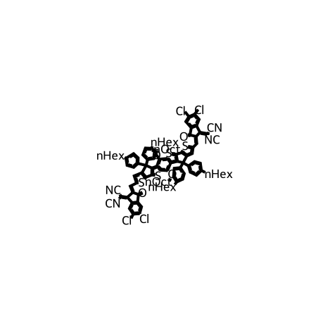 [C-]#[N+]/C(C#N)=C1\C(=C\c2cc3c(s2)-c2sc4c(OCCCCCCCC)c5c6c(sc5c(OCCCCCCCC)c4c2C3(c2ccc(CCCCCC)cc2)c2ccc(CCCCCC)cc2)-c2sc(/C=C3\C(=O)c4cc(Cl)c(Cl)cc4\C3=C(\C#N)[N+]#[C-])cc2C6(c2ccc(CCCCCC)cc2)c2ccc(CCCCCC)cc2)C(=O)c2cc(Cl)c(Cl)cc21